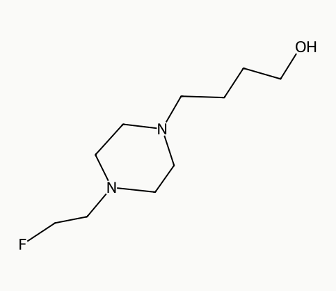 OCCCCN1CCN(CCF)CC1